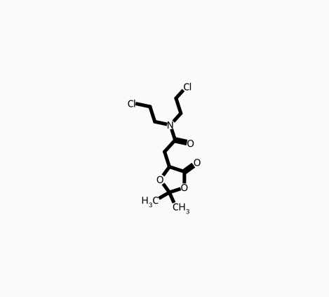 CC1(C)OC(=O)C(CC(=O)N(CCCl)CCCl)O1